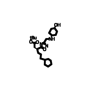 CC(C)(C)OC(=O)C[C@@H](CCCC1CCCCC1)c1nc(CN[C@H]2CC[C@H](O)CC2)no1